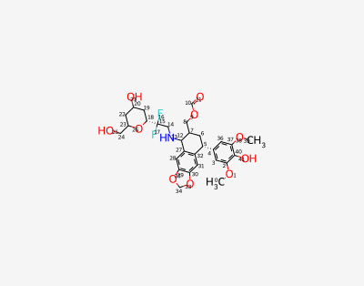 COc1cc([C@H]2CC(COC=O)C(NCC(F)(F)[C@H]3CC(O)CC(CO)O3)c3cc4c(cc32)OCO4)cc(OC)c1O